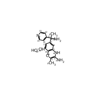 CC1=C(N)Nc2cc(C(C)(N)c3ccncc3)ccc2O1.Cl.Cl